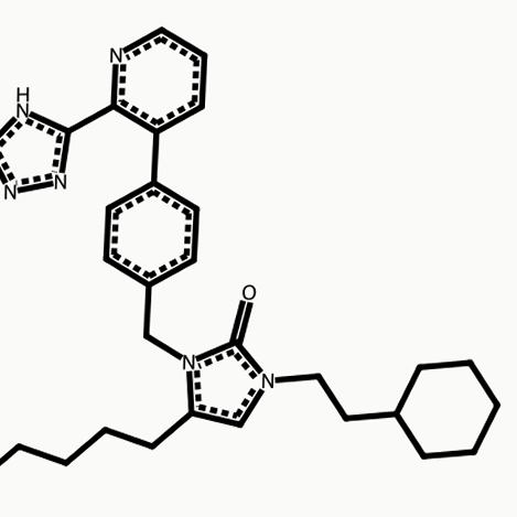 CCCCCc1cn(CCC2CCCCC2)c(=O)n1Cc1ccc(-c2cccnc2-c2nnn[nH]2)cc1